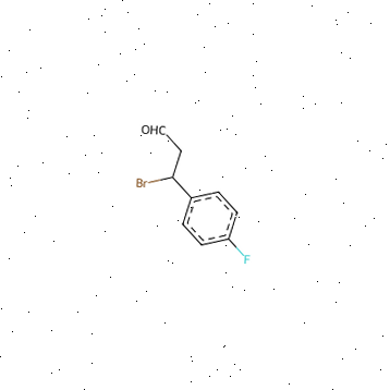 O=CCC(Br)c1ccc(F)cc1